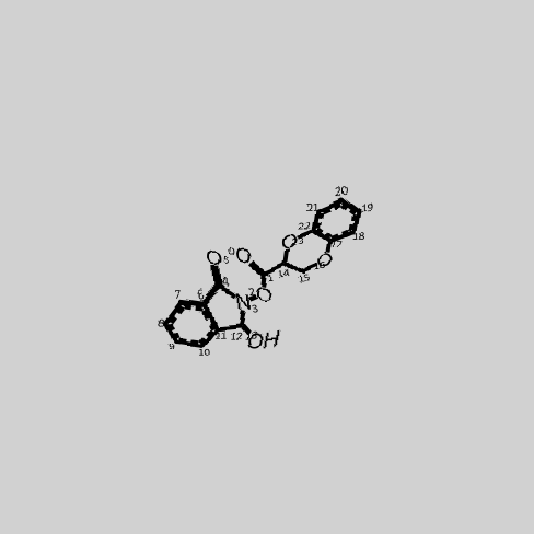 O=C(ON1C(=O)c2ccccc2C1O)C1COc2ccccc2O1